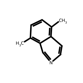 Cc1ccc(C)c2cn[c]cc12